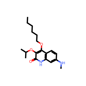 CCCCCCOc1c(OC(C)C)c(=O)[nH]c2cc(NC)ccc12